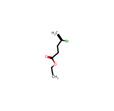 C=C(Br)CCC(=O)OCC